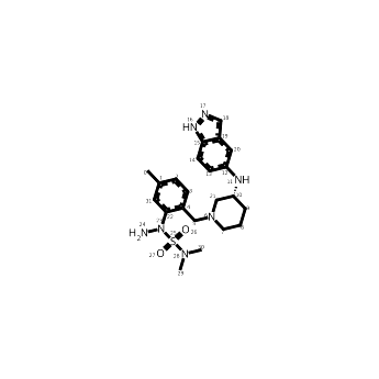 Cc1ccc(CN2CCC[C@@H](Nc3ccc4[nH]ncc4c3)C2)c(N(N)S(=O)(=O)N(C)C)c1